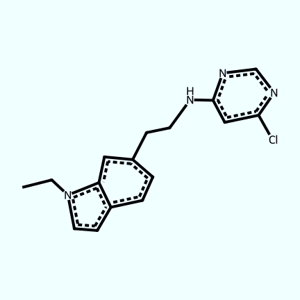 CCn1ccc2ccc(CCNc3cc(Cl)ncn3)cc21